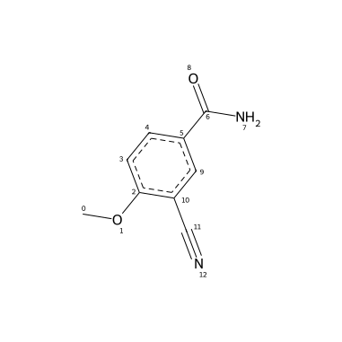 COc1ccc(C(N)=O)cc1C#N